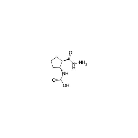 NNC(=O)[C@@H]1CCC[C@@H]1NC(=O)O